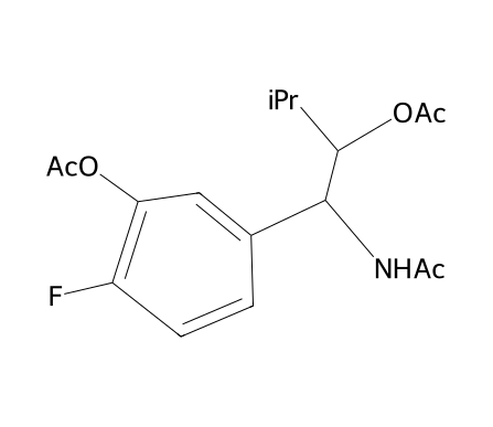 CC(=O)NC(c1ccc(F)c(OC(C)=O)c1)C(OC(C)=O)C(C)C